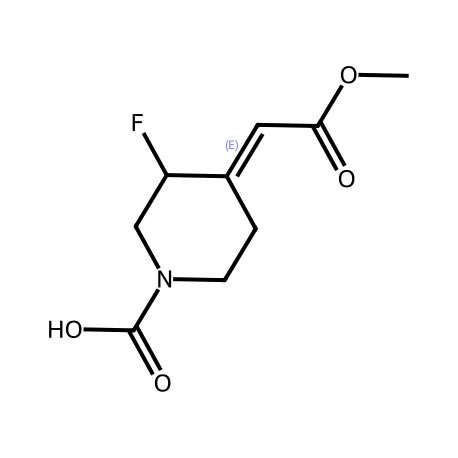 COC(=O)/C=C1\CCN(C(=O)O)CC1F